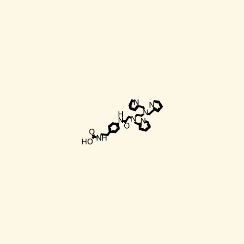 O=C(O)NCCc1ccc(NC(=O)CN(CCN(Cc2ccccn2)Cc2ccccn2)Cc2ccccn2)cc1